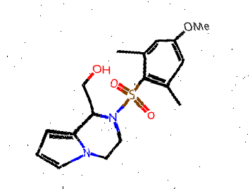 COc1cc(C)c(S(=O)(=O)N2CCn3cccc3C2CO)c(C)c1